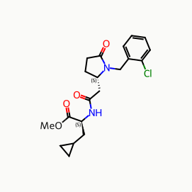 COC(=O)[C@H](CC1CC1)NC(=O)C[C@@H]1CCC(=O)N1Cc1ccccc1Cl